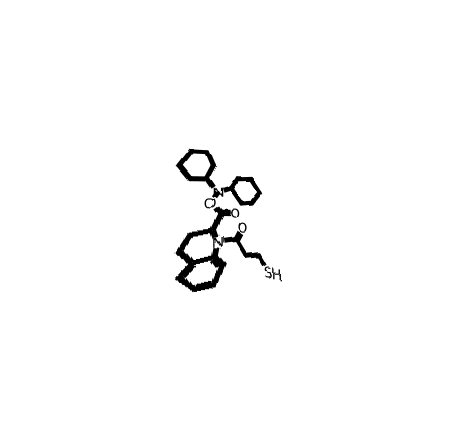 O=C(ON(C1CCCCC1)C1CCCCC1)C1CCc2ccccc2N1C(=O)CCS